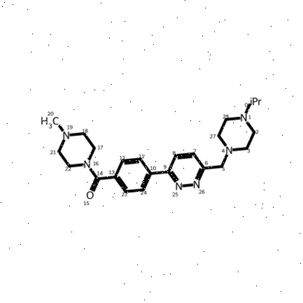 CC(C)N1CCN(Cc2ccc(-c3ccc(C(=O)N4CCN(C)CC4)cc3)nn2)CC1